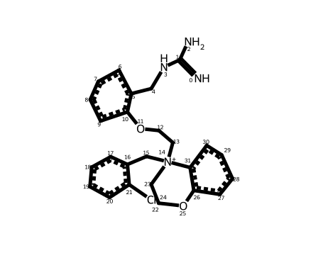 N=C(N)NCc1ccccc1OCC[N+]1(Cc2ccccc2Cl)CCOc2ccccc21